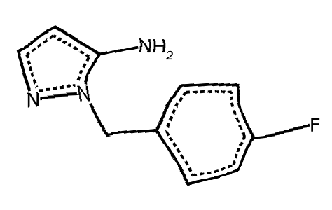 Nc1ccnn1Cc1ccc(F)cc1